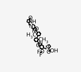 Cc1c(-c2nc3c(o2)CCN(CC2CCC(=O)N2)C3)cccc1-c1cccc(-c2nc3cc(CN4CCC[C@H]4C(=O)O)c(OC(F)F)cc3o2)c1C